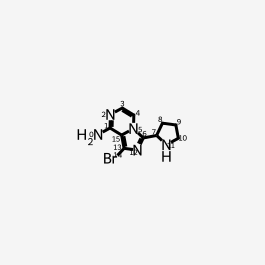 Nc1nccn2c(C3CCCN3)nc(Br)c12